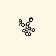 CCC1(c2ccc3c(c2)c2cc(C45CCC6CC(CC6C4)C5)cc4c2n3B2c3c-4cc4c(oc5ccccc54)c3-n3c4c2cccc4c2ccc4ccccc4c23)CC2CCC(C2)C1